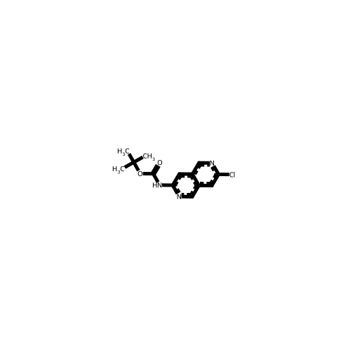 CC(C)(C)OC(=O)Nc1cc2cnc(Cl)cc2cn1